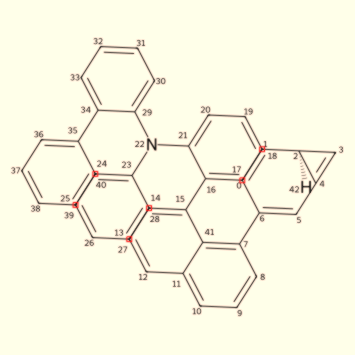 C1=C[C@H]2C=C2C=C1c1cccc2cccc(-c3ccccc3N(c3ccccc3)c3ccccc3-c3ccccc3)c12